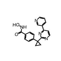 O=C(NO)c1ccc(C2(c3nccc(-c4cccnc4)n3)CC2)cc1